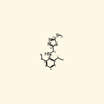 CCc1cccc(CC)c1NCc1nnc(SC)s1